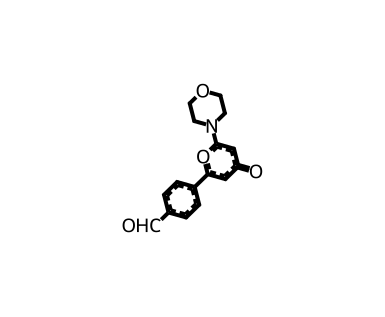 O=Cc1ccc(-c2cc(=O)cc(N3CCOCC3)o2)cc1